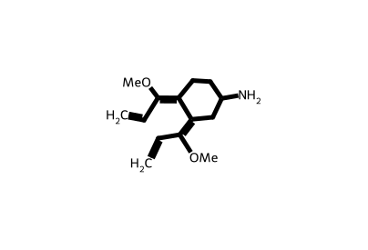 C=C/C(OC)=C1/CCC(N)C/C1=C(/C=C)OC